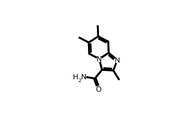 Cc1cc2nc(C)c(C(N)=O)n2cc1C